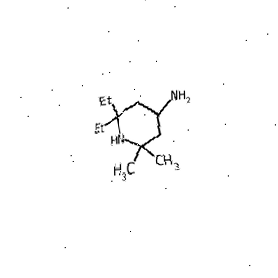 CCC1(CC)CC(N)CC(C)(C)N1